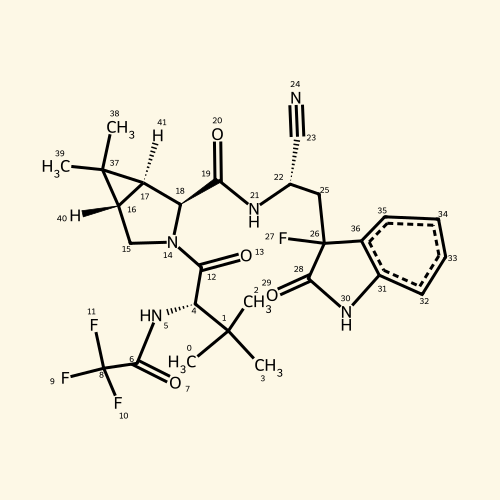 CC(C)(C)[C@H](NC(=O)C(F)(F)F)C(=O)N1C[C@H]2[C@H]([C@H]1C(=O)N[C@H](C#N)CC1(F)C(=O)Nc3ccccc31)C2(C)C